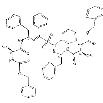 C[C@H](NC(=O)OCc1ccccc1)C(=O)N[C@H](C=C(c1ccccc1)S(=O)(=O)C(=C[C@H](Cc1ccccc1)NC(=O)[C@H](C)NC(=O)OCc1ccccc1)c1ccccc1)Cc1ccccc1